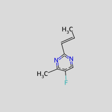 C/C=C/c1ncc(F)c(C)n1